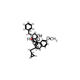 COc1ccc2c(c1)C13C(O)CN(CC4CC4)C(C2)C12CCC1C3[C@@H](CN1Cc1ccccc1)O2